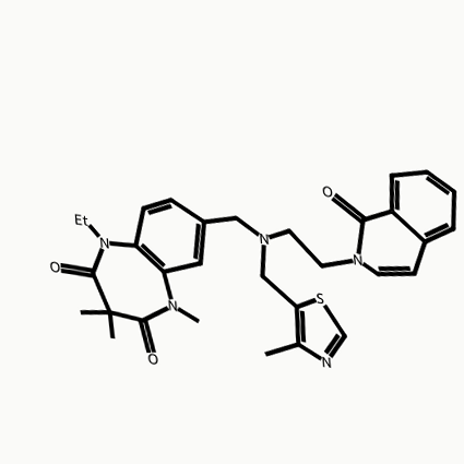 CCN1C(=O)C(C)(C)C(=O)N(C)c2cc(CN(CCn3ccc4ccccc4c3=O)Cc3scnc3C)ccc21